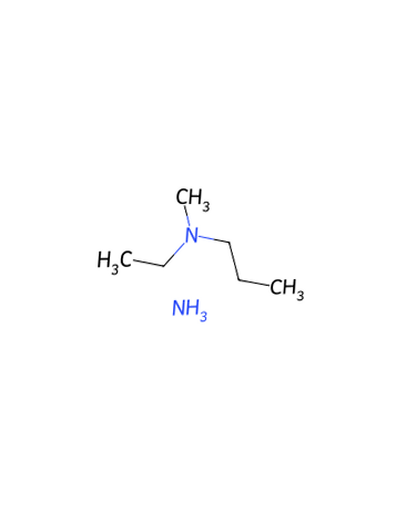 CCCN(C)CC.N